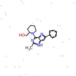 Cc1nc(N2CCCCC2CO)c2nc(-c3ccccc3)cc-2[nH]1